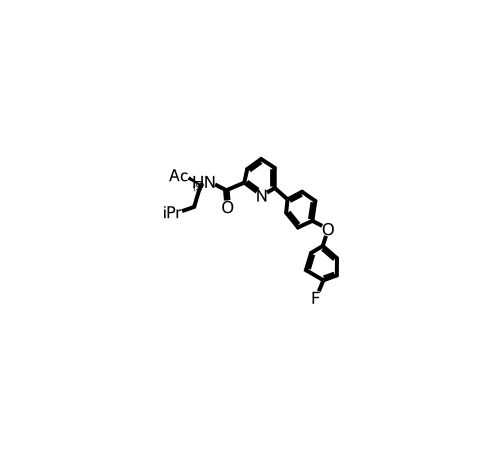 CC(=O)[C@H](CC(C)C)NC(=O)c1cccc(-c2ccc(Oc3ccc(F)cc3)cc2)n1